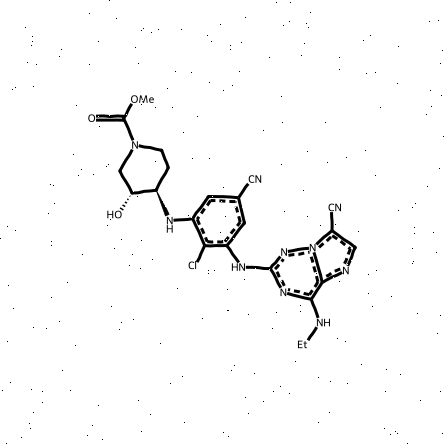 CCNc1nc(Nc2cc(C#N)cc(N[C@@H]3CCN(C(=O)OC)C[C@H]3O)c2Cl)nn2c(C#N)cnc12